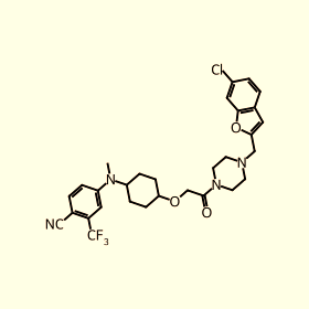 CN(c1ccc(C#N)c(C(F)(F)F)c1)C1CCC(OCC(=O)N2CCN(Cc3cc4ccc(Cl)cc4o3)CC2)CC1